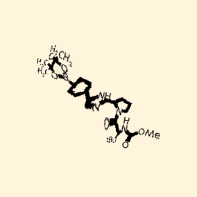 COC(=O)N[C@H](C(=O)N1CCCC1c1ncc(-c2ccc(B3OC(C)(C)C(C)(C)O3)cc2)[nH]1)C(C)(C)C